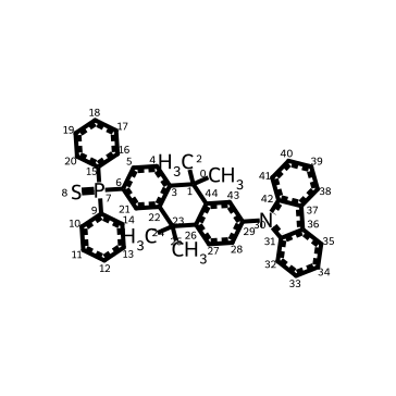 CC1(C)c2ccc(P(=S)(c3ccccc3)c3ccccc3)cc2C(C)(C)c2ccc(-n3c4ccccc4c4ccccc43)cc21